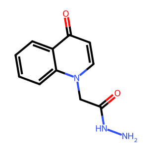 NNC(=O)Cn1ccc(=O)c2ccccc21